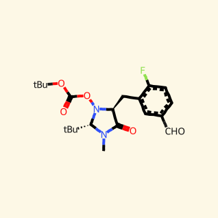 CN1C(=O)[C@H](Cc2cc(C=O)ccc2F)N(OC(=O)OC(C)(C)C)[C@H]1C(C)(C)C